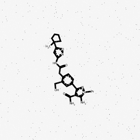 CC(C)n1nc(-c2ccc(CC(=O)Nc3cc(C4(C)CCCC4)on3)c(CO)c2)c(C(N)=O)c1N